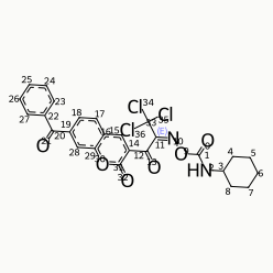 O=C(NC1CCCCC1)O/N=C(\C(=O)c1cc2ccc(C(=O)c3ccccc3)cc2oc1=O)C(Cl)(Cl)Cl